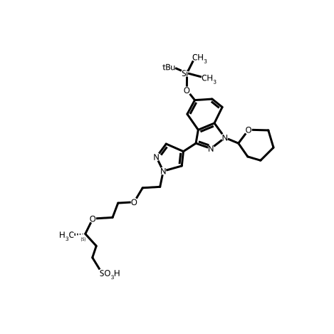 C[C@@H](CCS(=O)(=O)O)OCCOCCn1cc(-c2nn(C3CCCCO3)c3ccc(O[Si](C)(C)C(C)(C)C)cc23)cn1